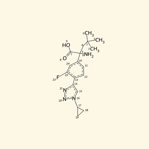 CC(C)(C)CC(N)(C(=O)O)c1ccc(-c2cn(C3CC3)nn2)c(F)c1